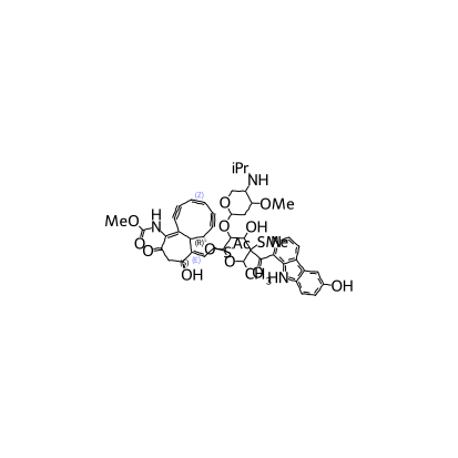 COC(=O)NC1=C2C#C/C=C\C#C[C@H](OC3OC(C)C(SC)(C(=O)c4nccc5c4[nH]c4ccc(O)cc45)C(O)C3OC3CC(OC)C(NC(C)C)CO3)C2/C(=C\CSC(C)=O)[C@@H](O)CC1=O